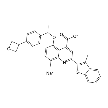 Cc1c(-c2cc(C(=O)[O-])c3c(O[C@@H](C)c4ccc(C5COC5)cc4)ccc(C)c3n2)sc2ccccc12.[Na+]